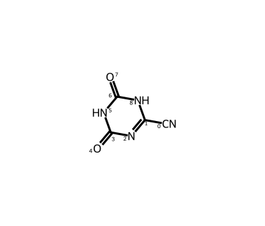 N#Cc1nc(=O)[nH]c(=O)[nH]1